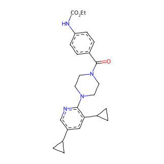 CCOC(=O)Nc1ccc(C(=O)N2CCN(c3ncc(C4CC4)cc3C3CC3)CC2)cc1